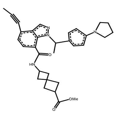 CC#Cc1ccc(C(=O)NC2CC3(C2)CC(C(=O)OC)C3)c2c1cnn2C(C)c1ccc(N2CCCC2)cc1